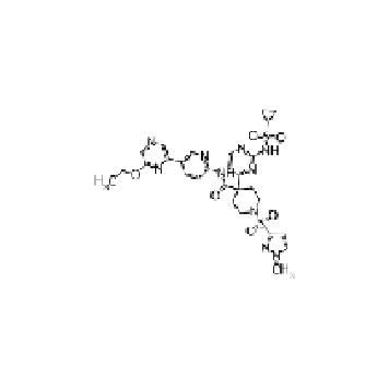 CCOc1cncc(-c2ccc(NC(=O)C3(c4ccnc(NS(=O)(=O)C5CC5)n4)CCN(S(=O)(=O)c4ccn(C)n4)CC3)nc2)n1